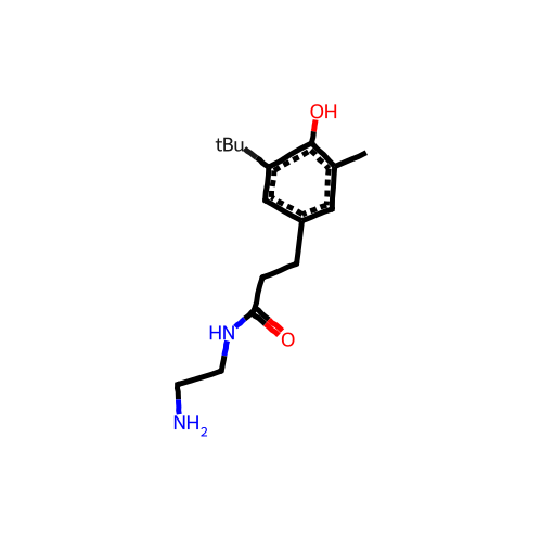 Cc1cc(CCC(=O)NCCN)cc(C(C)(C)C)c1O